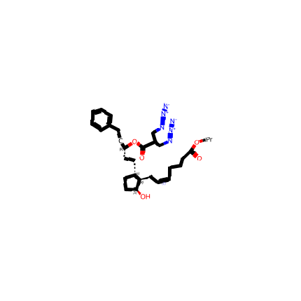 CC(C)OC(=O)CCC/C=C\C[C@@H]1[C@@H](CC[C@H](CCc2ccccc2)OC(=O)C(CN=[N+]=[N-])CN=[N+]=[N-])CC[C@@H]1O